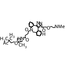 CCC(C)(CNC(=O)CCC(=O)N1Cc2ccccc2-c2c(nnn2C(O)COCCNC)-c2ccccc21)OCCC(C)(C)C(C)=O